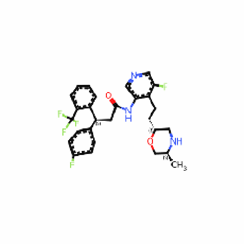 C[C@H]1CO[C@H](CCc2c(F)cncc2NC(=O)C[C@@H](c2ccc(F)cc2)c2ccccc2C(F)(F)F)CN1